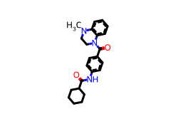 CN1CCN(C(=O)c2ccc(NC(=O)C3CCCCC3)cc2)c2ccccc21